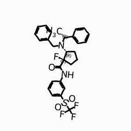 C[C@H](c1ccccc1)N(Cc1ccccc1)[C@@H]1CCC[C@]1(F)C(=O)Nc1cccc(S(=O)(=O)C(F)(F)F)c1